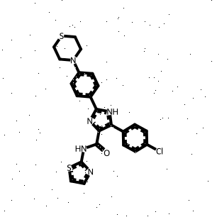 O=C(Nc1nccs1)c1nc(-c2ccc(N3CCSCC3)cc2)[nH]c1-c1ccc(Cl)cc1